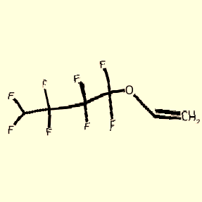 C=COC(F)(F)C(F)(F)C(F)(F)C(F)F